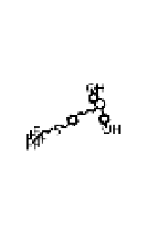 Oc1ccc(C2CCc3cc(O)ccc3C2CCCCc2ccc(CCSCCCC(F)(F)C(F)(F)C(F)(F)F)cc2)cc1